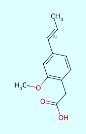 C/C=C/c1ccc(CC(=O)O)c(OC)c1